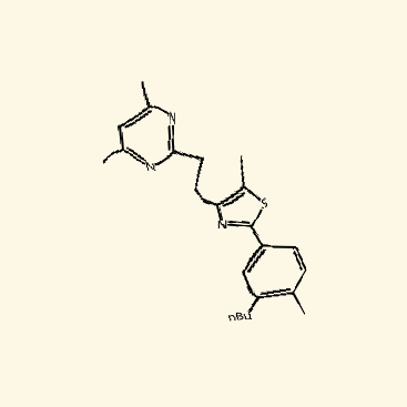 CCCCc1cc(-c2nc(CCc3nc(C)cc(C)n3)c(C)s2)ccc1C